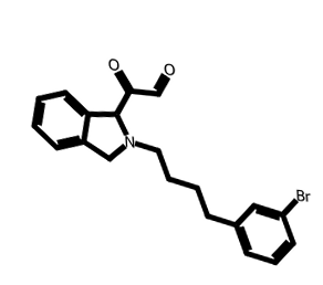 O=CC(=O)C1c2ccccc2CN1CCCCc1cccc(Br)c1